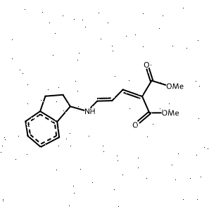 COC(=O)C(=CC=CNC1CCc2ccccc21)C(=O)OC